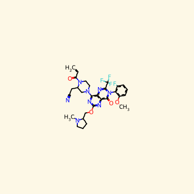 C=CC(=O)N1CCN(c2nc(OCC3CCCN3C)nc3c(=O)n(-c4c(F)cccc4OC)c(C(F)(F)F)nc23)CC1CC#N